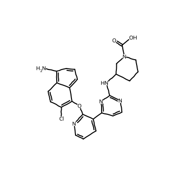 Nc1cccc2c(Oc3ncccc3-c3ccnc(NC4CCCN(C(=O)O)C4)n3)c(Cl)ccc12